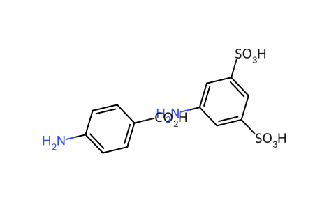 Nc1cc(S(=O)(=O)O)cc(S(=O)(=O)O)c1.Nc1ccc(C(=O)O)cc1